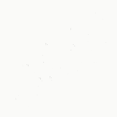 COc1c(F)c(-c2ccccc2F)nc2cc(-c3nn(C4CC(C)(O)C4)c(N)c3C#N)ccc12